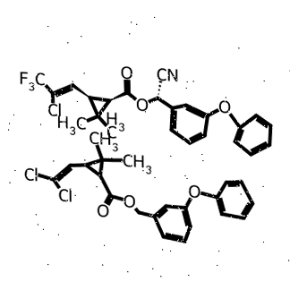 CC1(C)C(C=C(Cl)Cl)C1C(=O)OCc1cccc(Oc2ccccc2)c1.CC1(C)[C@H](C(=O)O[C@H](C#N)c2cccc(Oc3ccccc3)c2)[C@@H]1/C=C(\Cl)C(F)(F)F